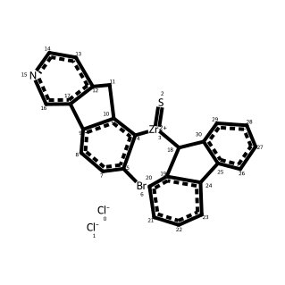 [Cl-].[Cl-].[S]=[Zr+2]([c]1c(Br)ccc2c1Cc1ccncc1-2)[CH]1c2ccccc2-c2ccccc21